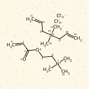 C=CC(=O)OCC[N+](C)(C)C.C=CC[N+](C)(C)CC=C.[Cl-].[Cl-]